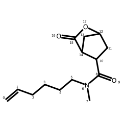 C=CCCCCN(C)C(=O)C1CC2CC1C(=O)O2